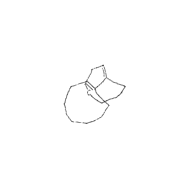 C1=C(\C2=C\CCCCCC2)CCCCCC/1